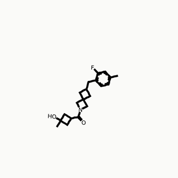 Cc1ccc(CC2CC3(C2)CN(C(=O)C2CC(C)(O)C2)C3)c(F)c1